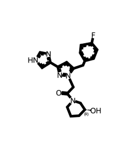 O=C(Cn1nc(-c2c[nH]cn2)cc1Cc1ccc(F)cc1)N1CCC[C@@H](O)C1